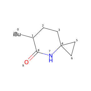 CCC(C)C1CCC2(CC2)NC1=O